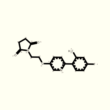 Cc1cc(F)ccc1-c1ccc(OCCN2C(=O)CCC2=O)cn1